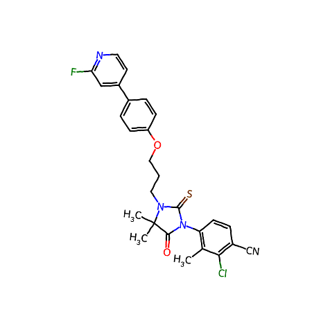 Cc1c(N2C(=O)C(C)(C)N(CCCOc3ccc(-c4ccnc(F)c4)cc3)C2=S)ccc(C#N)c1Cl